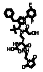 CC(C)(C)[C@H](c1nn(-c2cc(F)ccc2F)cc1Cc1ccccc1)N(CC[C@H](NC(=O)O)C(=O)NCCN1C(=O)C=CC1=O)C(=O)CO